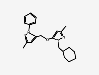 Cc1cc(OCc2cc(C)nn2-c2ccccc2)n(CC2CCCCC2)n1